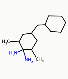 CC1CC([C]C2CCCCC2)CC(C)C1(N)N